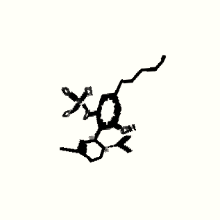 C=C(C)[C@@H]1CCC(C)=C[C@H]1c1c(O)cc(CCCCC)cc1OP(=O)(Cl)Cl